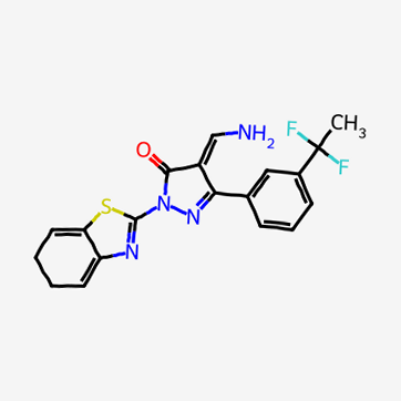 CC(F)(F)c1cccc(C2=NN(c3nc4c(s3)=CCCC=4)C(=O)/C2=C/N)c1